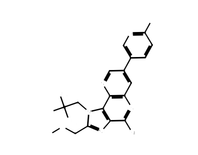 CCOCc1nc2c(N)nc3cc(-c4ccc(F)nc4)cnc3c2n1CC(C)(C)O